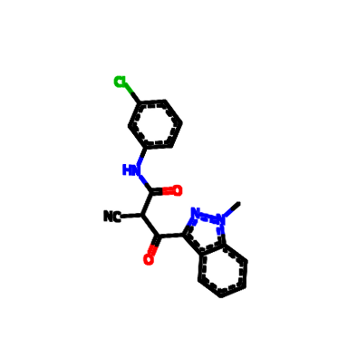 Cn1nc(C(=O)C(C#N)C(=O)Nc2cccc(Cl)c2)c2ccccc21